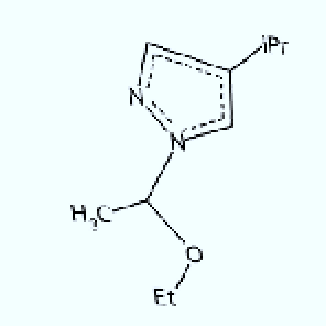 CCOC(C)n1cc(C(C)C)cn1